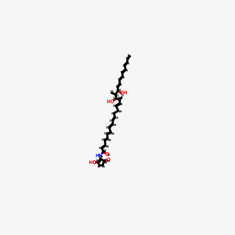 C=C/C=C/C=C/C=C/C=C/C(O)C(C)C(O)C(C)/C=C/CC/C=C/C=C/C=C/C=C/C=C/C(=O)NC1=C(O)CCC1=O